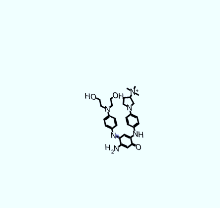 C[N+](C)(C)C1CCN(c2ccc(NC3=C/C(=N\c4ccc(N(CCO)CCO)cc4)C(N)=CC3=O)cc2)C1